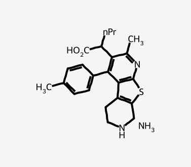 CCCC(C(=O)O)c1c(C)nc2sc3c(c2c1-c1ccc(C)cc1)CCNC3.N